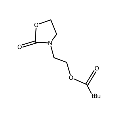 CC(C)(C)C(=O)OCCN1CCOC1=O